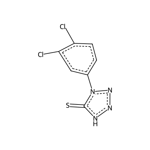 S=c1[nH]nnn1-c1ccc(Cl)c(Cl)c1